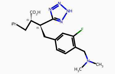 CC(C)C[C@H](C(=O)O)[C@H](Cc1ccc(CN(C)C)c(F)c1)c1nn[nH]n1